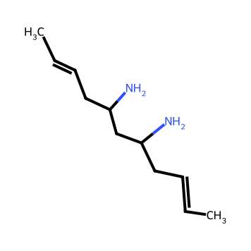 CC=CCC(N)CC(N)CC=CC